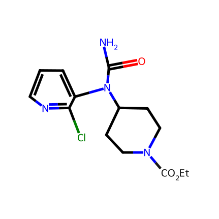 CCOC(=O)N1CCC(N(C(N)=O)c2cccnc2Cl)CC1